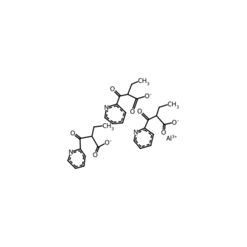 CCC(C(=O)[O-])C(=O)c1ccccn1.CCC(C(=O)[O-])C(=O)c1ccccn1.CCC(C(=O)[O-])C(=O)c1ccccn1.[Al+3]